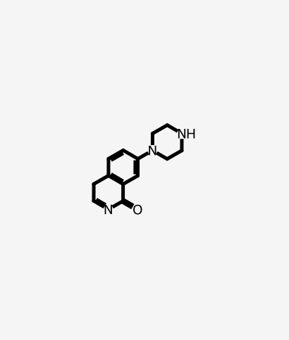 O=C1N=CCc2ccc(N3CCNCC3)cc21